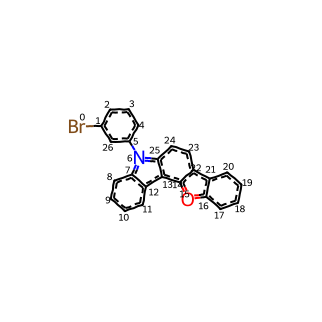 Brc1cccc(-n2c3ccccc3c3c4oc5ccccc5c4ccc32)c1